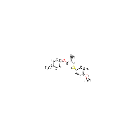 CCCOc1ccc(SCC(CCC)COc2ccc(C(F)(F)F)cc2)cc1C